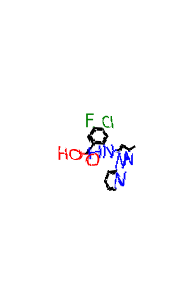 Cc1cc(Nc2cc(Cl)c(F)cc2C(=O)O)n(-c2ccccn2)n1